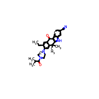 CCc1cc2c(cc1N1CCN(C(=O)C(C)C)CC1)C(C)(C)c1[nH]c3cc(C#N)ccc3c1C2=O